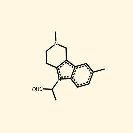 Cc1ccc2c(c1)c1c(n2C(C)C=O)CCN(C)C1